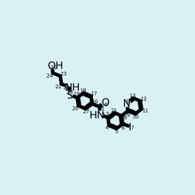 O=C(Nc1ccc(I)c(-c2ccccn2)c1)c1ccc(SNCCCO)cc1